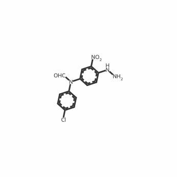 NNc1ccc(N(C=O)c2ccc(Cl)cc2)cc1[N+](=O)[O-]